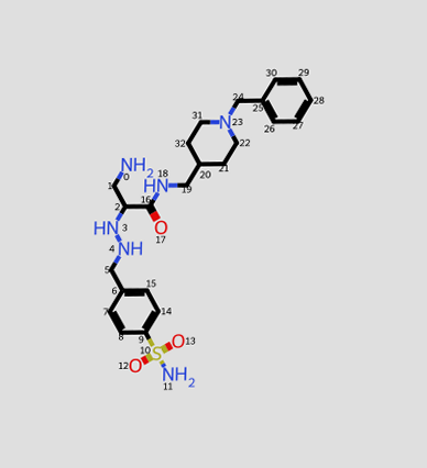 NCC(NNCc1ccc(S(N)(=O)=O)cc1)C(=O)NCC1CCN(Cc2ccccc2)CC1